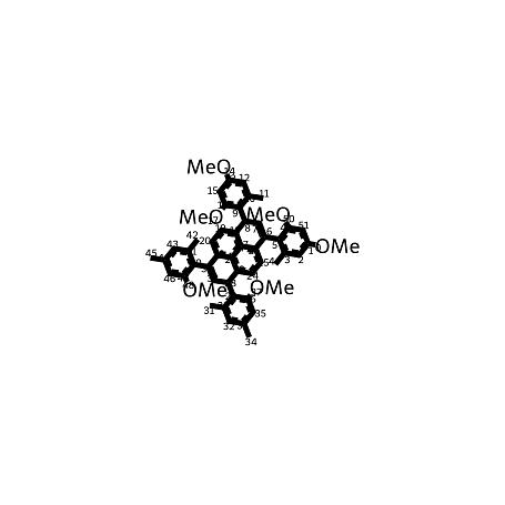 COc1cc(C)c(C2=CC(c3c(C)cc(OC)cc3OC)c3ccc4c5c(ccc2c35)C(c2c(C)cc(C)cc2OC)C=C4c2c(C)cc(C)cc2OC)c(OC)c1